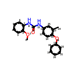 COc1ccccc1NC(=O)Nc1ccc(Oc2ccccc2)c(C)c1